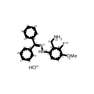 COc1ccc(NN=C(c2ccccc2)c2ccccc2)c(CN)c1F.Cl